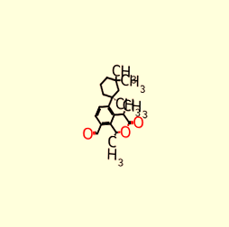 C[C@@H]1OC(=O)[C@H](C)c2c([C@@]3(C)CCCC(C)(C)C3)ccc(C=O)c21